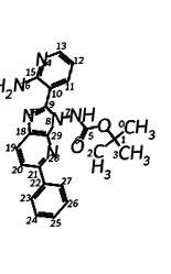 CC(C)(C)OC(=O)Nn1c(-c2cccnc2N)nc2ccc(-c3ccccc3)nc21